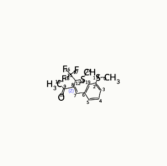 CSc1cccc(/C=C(/C(C)=O)C(SC)C(F)(F)F)c1